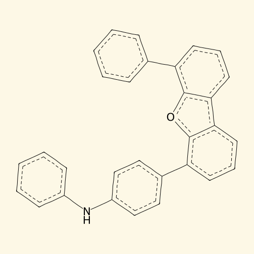 c1ccc(Nc2ccc(-c3cccc4c3oc3c(-c5ccccc5)cccc34)cc2)cc1